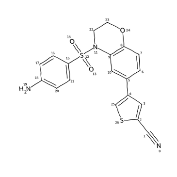 N#Cc1cc(-c2ccc3c(c2)N(S(=O)(=O)c2ccc(N)cc2)CCO3)cs1